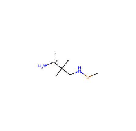 CSNCC(C)(C)[C@@H](C)N